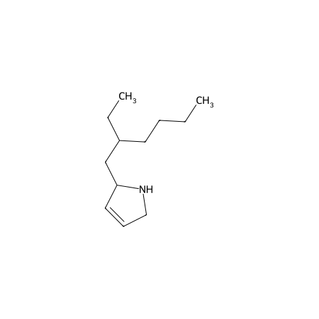 CCCCC(CC)CC1C=CCN1